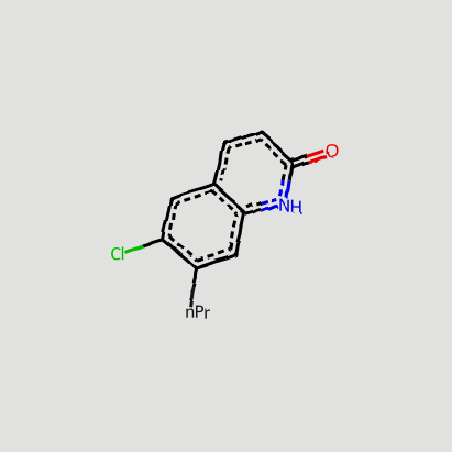 CCCc1cc2[nH]c(=O)ccc2cc1Cl